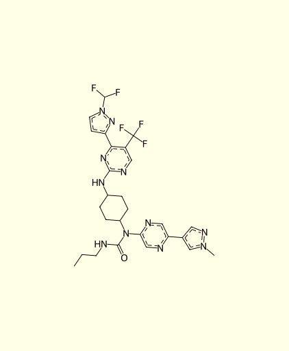 CCCNC(=O)N(c1cnc(-c2cnn(C)c2)cn1)C1CCC(Nc2ncc(C(F)(F)F)c(-c3ccn(C(F)F)n3)n2)CC1